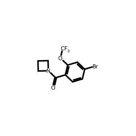 O=C(c1ccc(Br)cc1OC(F)(F)F)N1CCC1